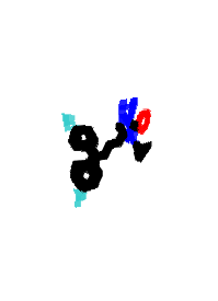 O=C1NCC(CCCC(c2ccc(F)cc2)c2ccc(F)cc2)N1C1CC1